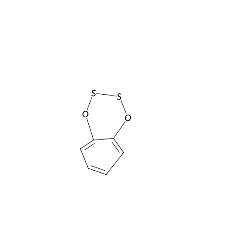 c1ccc2ossoc2c1